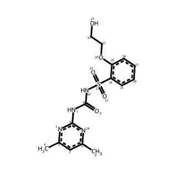 Cc1cc(C)nc(NC(=O)NS(=O)(=O)c2ccccc2OCCO)n1